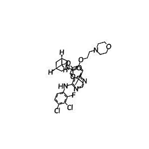 CC(C)(C)OC(=O)N1C[C@H]2C[C@@H](C1)[C@H]2Oc1cc2c(Nc3ccc(Cl)c(Cl)c3F)ncnc2cc1OCCN1CCOCC1